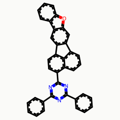 c1ccc(-c2nc(-c3ccccc3)nc(-c3ccc4c5c(cccc35)-c3cc5oc6ccccc6c5cc3-4)n2)cc1